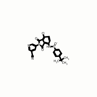 CC(C)(C)c1ccc([S+]([O-])Nc2ccc(Cl)c3c2C(=O)N(c2cncc(C#N)c2)C3=O)cc1